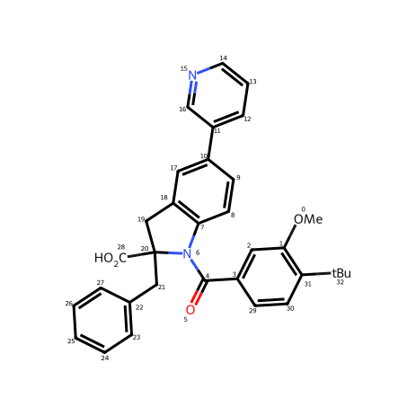 COc1cc(C(=O)N2c3ccc(-c4cccnc4)cc3CC2(Cc2ccccc2)C(=O)O)ccc1C(C)(C)C